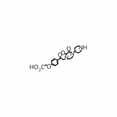 O=C(O)COc1ccc(C(=O)CN2CCN(C3CCNCC3)C(=O)C2=O)cc1